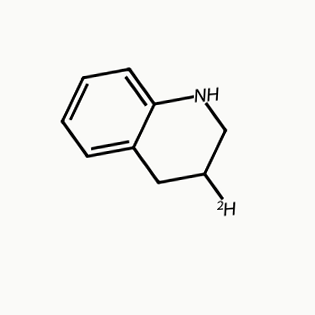 [2H]C1CNc2ccccc2C1